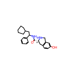 O=C(NC(CC1CCCCC1)c1ccccc1)[C@H]1Cc2ccc(O)cc2CN1